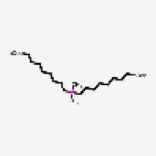 CCCCCCCCCCCCCCCCCC[P](C)(C)CCCCCCCCCCCCCCCCCC